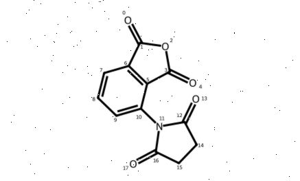 O=C1OC(=O)c2c1cccc2N1C(=O)CCC1=O